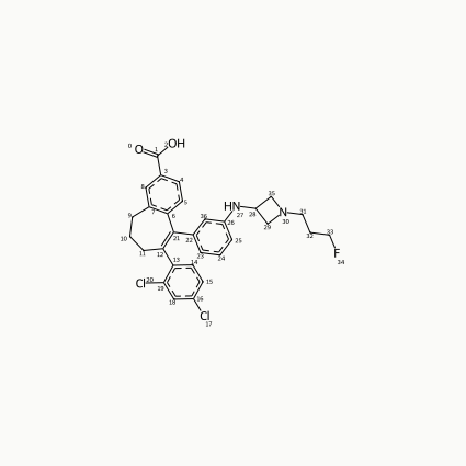 O=C(O)c1ccc2c(c1)CCCC(c1ccc(Cl)cc1Cl)=C2c1cccc(NC2CN(CCCF)C2)c1